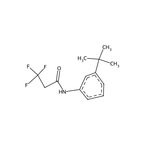 CC(C)(C)c1cccc(NC(=O)CC(F)(F)F)c1